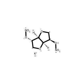 O=[N+]([O-])O[C@H]1CO[C@H]2[C@@H]1OC[C@H]2O[N+](=O)[O-].[K+]